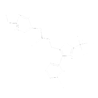 COc1ncc(NC(=O)NCc2sc(C(C)(C)C)nc2-c2cccc(Cl)c2)cn1